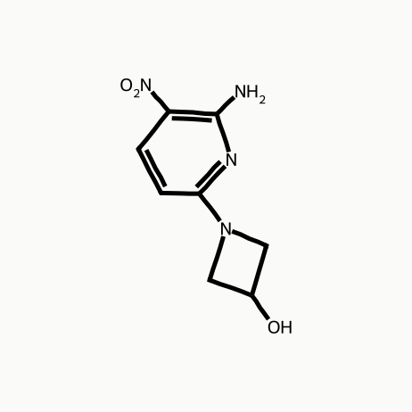 Nc1nc(N2CC(O)C2)ccc1[N+](=O)[O-]